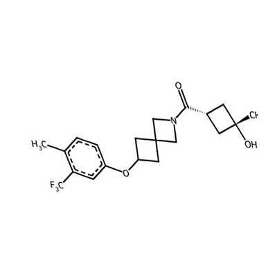 Cc1ccc(OC2CC3(C2)CN(C(=O)[C@H]2C[C@@](C)(O)C2)C3)cc1C(F)(F)F